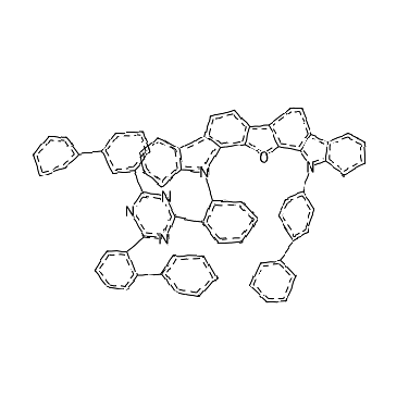 c1ccc(-c2ccc(-n3c4ccccc4c4ccc5c6ccc7c8ccccc8n(-c8ccccc8-c8nc(-c9cccc(-c%10ccccc%10)c9)nc(-c9ccccc9-c9ccccc9)n8)c7c6oc5c43)cc2)cc1